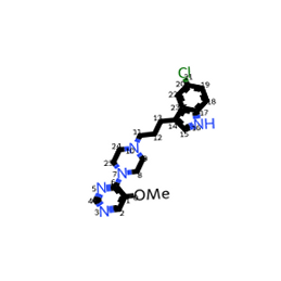 COc1cncnc1N1CCN(CCCc2c[nH]c3ccc(Cl)cc23)CC1